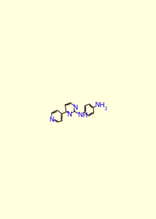 Nc1ccc(Nc2nccc(-c3ccncc3)n2)cc1